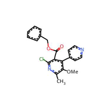 COc1c(C)nc(Cl)c(C(=O)OCc2ccccc2)c1-c1ccncc1